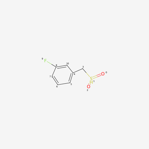 O=[SH](=O)Cc1cc[c]c(F)c1